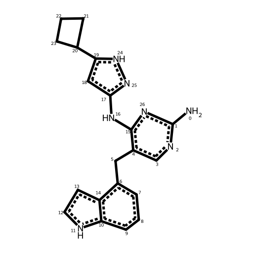 Nc1ncc(Cc2cccc3[nH]ccc23)c(Nc2cc(C3CCC3)[nH]n2)n1